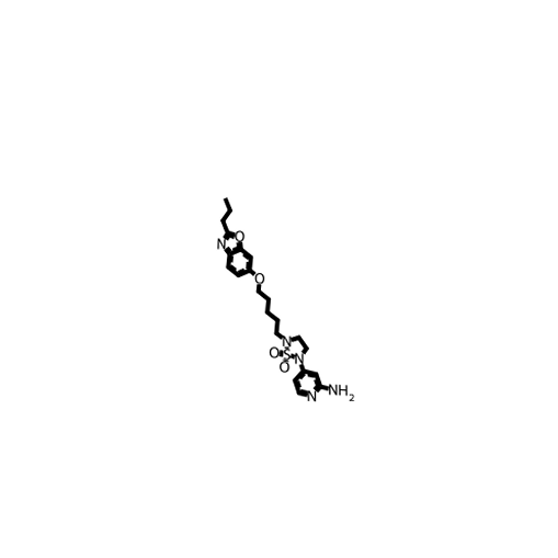 CCCc1nc2ccc(OCCCCCN3CCN(c4ccnc(N)c4)S3(=O)=O)cc2o1